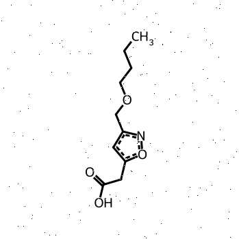 CCCCOCc1cc(CC(=O)O)on1